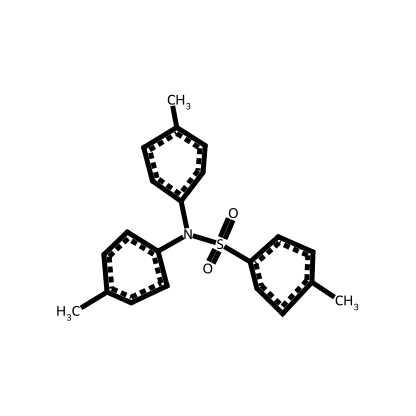 Cc1ccc(N(c2ccc(C)cc2)S(=O)(=O)c2ccc(C)cc2)cc1